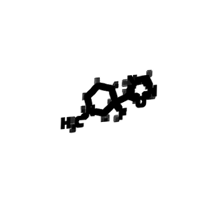 CN1CCCC(F)(c2ncno2)C1